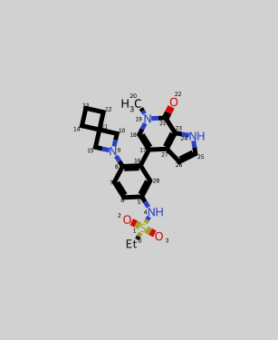 CCS(=O)(=O)Nc1ccc(N2CC3(CCC3)C2)c(-c2cn(C)c(=O)c3[nH]ccc23)c1